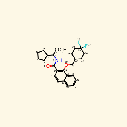 O=C(NC(C(=O)O)C1CCCC1)c1ccc2ccccc2c1OCC1CCC(F)(F)CC1